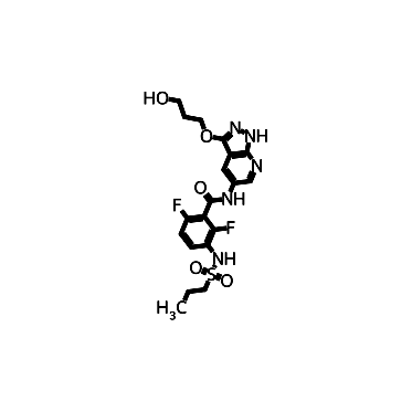 CCCS(=O)(=O)Nc1ccc(F)c(C(=O)Nc2cnc3[nH]nc(OCCCO)c3c2)c1F